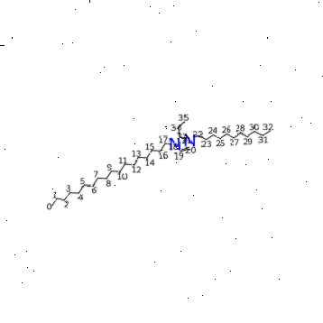 CCCCCCCCCCCCCCCCCC[n+]1ccn(CCCCCCCCCCC)c1CC